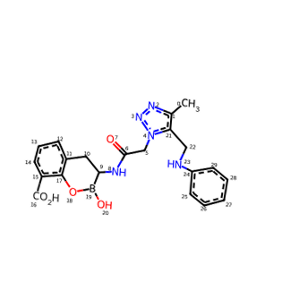 Cc1nnn(CC(=O)NC2Cc3cccc(C(=O)O)c3OB2O)c1CNc1ccccc1